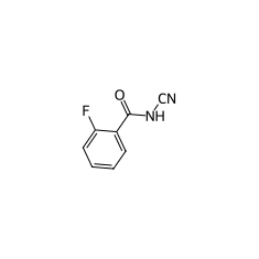 N#CNC(=O)c1ccccc1F